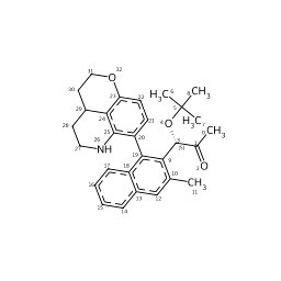 CC(=O)[C@@H](OC(C)(C)C)c1c(C)cc2ccccc2c1-c1ccc2c3c1NCCC3CCO2